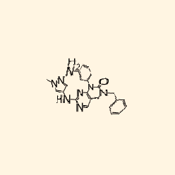 Cn1cc(Nc2ncc3c(n2)N(c2cccc(N)c2)C(=O)N(Cc2ccccc2)C3)cn1